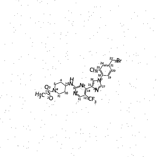 CS(=O)(=O)N1CCC(Nc2ncc(C(F)(F)F)c(-c3cn(-c4ccc(CBr)cc4Cl)cn3)n2)CC1